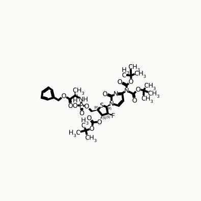 C[C@H](NP(=O)(O)OC[C@H]1S[C@@H](n2ccc(N(C(=O)OC(C)(C)C)C(=O)OC(C)(C)C)nc2=O)[C@@H](F)[C@@H]1OC(=O)OC(C)(C)C)C(=O)OCc1ccccc1